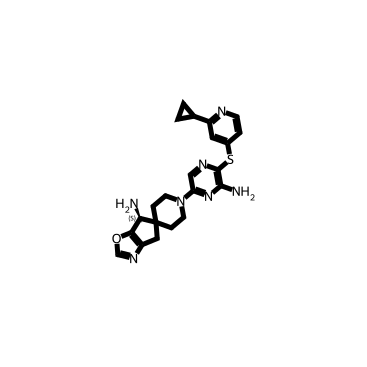 Nc1nc(N2CCC3(CC2)Cc2ncoc2[C@H]3N)cnc1Sc1ccnc(C2CC2)c1